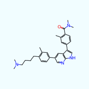 Cc1cc(-c2cnc3[nH]cc(-c4ccc(C(=O)N(C)C)c(C)c4)c3c2)ccc1CCCCN(C)C